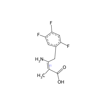 C/C(C(=O)O)=C(\N)Cc1cc(F)c(F)cc1F